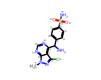 Cn1nc(Cl)c2c(C(N)c3ccc(S(N)(=O)=O)cc3)ncnc21